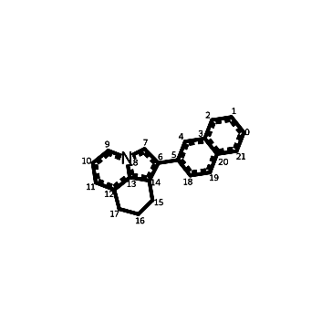 c1ccc2cc(-c3cn4cccc5c4c3CCC5)ccc2c1